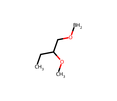 BOCC(CC)OC